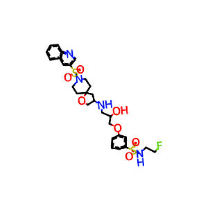 O=S(=O)(NCCF)c1cccc(OCC(O)CN[C@H]2COC3(CCN(S(=O)(=O)c4cnc5ccccc5c4)CC3)C2)c1